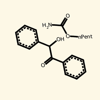 CCCCCOC(N)=O.O=C(c1ccccc1)C(O)c1ccccc1